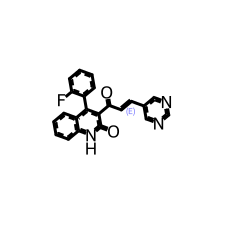 O=C(/C=C/c1cncnc1)c1c(-c2ccccc2F)c2ccccc2[nH]c1=O